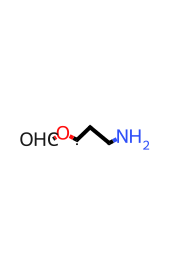 NCC[CH]OC=O